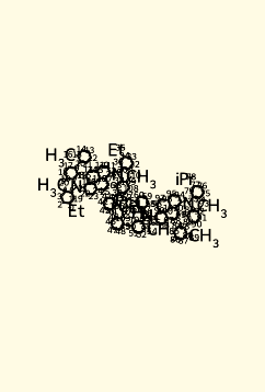 CCc1cccc(N(c2cc(-c3ccccc3C)ccc2C)c2ccc3ccc4c(N(c5cccc(CC)c5)c5cc(-c6cccc(-c7cccc(-c8ccc(C)c(N(c9cccc(C(C)C)c9)c9ccc%10ccc%11c(N(c%12cccc(C(C)C)c%12)c%12cc(-c%13ccccc%13C)ccc%12C)ccc%12ccc9c%10c%12%11)c8)c7C)c6C)ccc5C)ccc5ccc2c3c54)c1